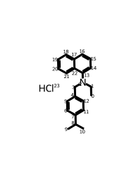 CCN(Cc1ccc(C(C)C)cc1)c1cccc2ccccc12.Cl